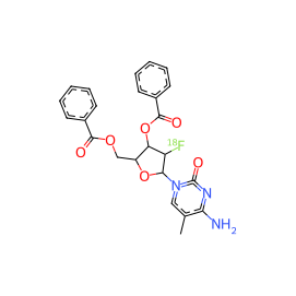 Cc1cn(C2OC(COC(=O)c3ccccc3)C(OC(=O)c3ccccc3)C2[18F])c(=O)nc1N